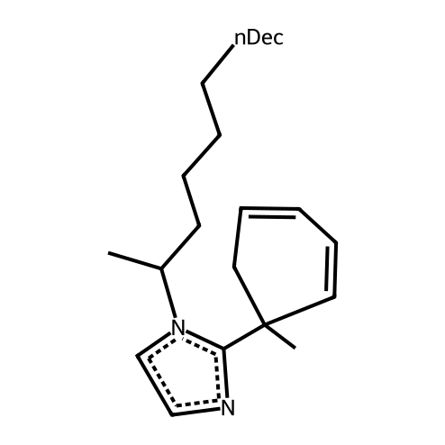 CCCCCCCCCCCCCCC(C)n1ccnc1C1(C)C=CC=CC1